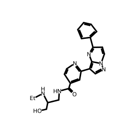 CCNC(CO)CNC(=O)c1ccnc(-c2cnn3ccc(-c4ccccc4)nc23)c1